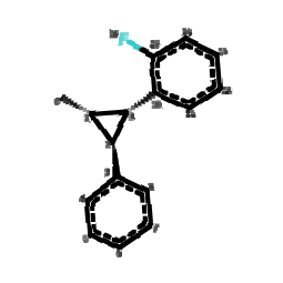 C[C@H]1[C@H](c2ccccc2)[C@H]1c1ccccc1F